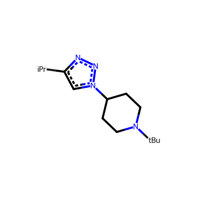 CC(C)c1cn(C2CCN(C(C)(C)C)CC2)nn1